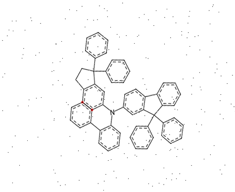 c1ccc(-c2ccccc2N(c2ccc3c(c2)C(c2ccccc2)(c2ccccc2)CC3)c2ccc3c(c2)C(c2ccccc2)(c2ccccc2)c2ccccc2-3)cc1